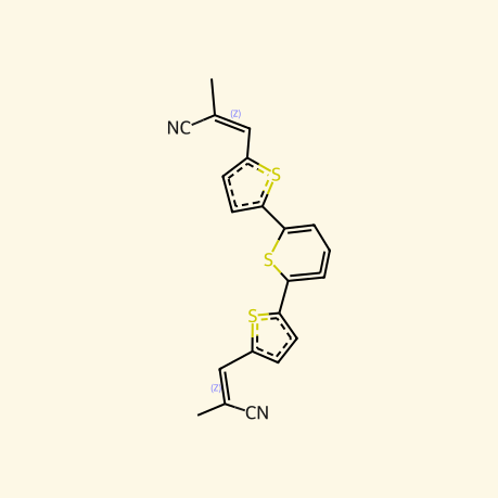 C/C(C#N)=C/c1ccc(C2=C=CC=C(c3ccc(/C=C(/C)C#N)s3)S2)s1